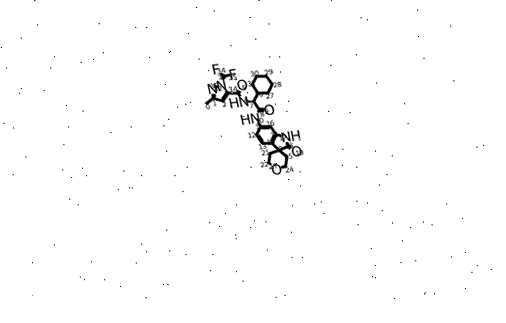 Cc1cc(C(=O)N[C@H](C(=O)Nc2ccc3c(c2)NC(=O)C32CCOCC2)C2CCCCC2)n(C(F)F)n1